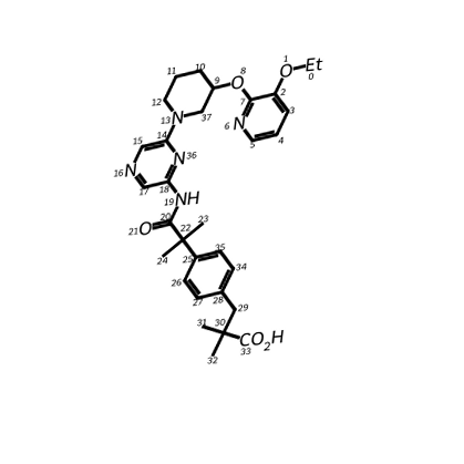 CCOc1cccnc1OC1CCCN(c2cncc(NC(=O)C(C)(C)c3ccc(CC(C)(C)C(=O)O)cc3)n2)C1